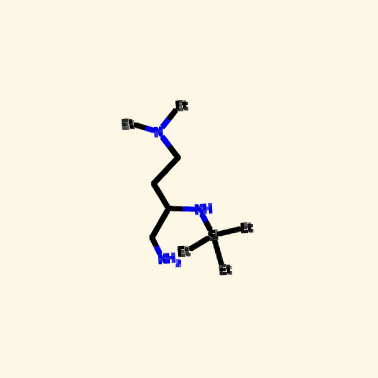 CCN(CC)CCC(CN)N[Si](CC)(CC)CC